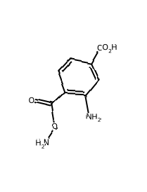 NOC(=O)c1ccc(C(=O)O)cc1N